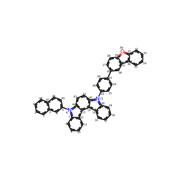 c1ccc2cc(-n3c4ccccc4c4c5c6ccccc6n(-c6ccc(-c7ccc8oc9ccccc9c8c7)cc6)c5ccc43)ccc2c1